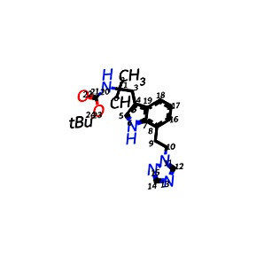 CC(C)(Cc1c[nH]c2c(CCn3cncn3)cccc12)NC(=O)OC(C)(C)C